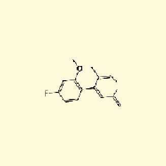 C=C(C)/C=C(\C(C)=C/C)c1ccc(F)cc1OC